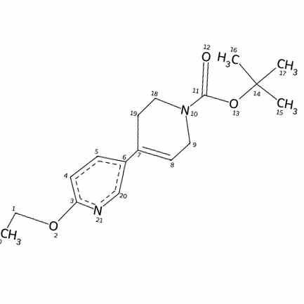 CCOc1ccc(C2=CCN(C(=O)OC(C)(C)C)CC2)cn1